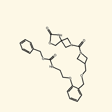 O=C(NCCOc1ccccc1COCC1CN(C(=O)N2CC3(COC(=O)N3)C2)C1)OCc1ccccc1